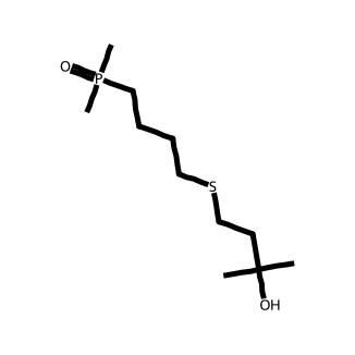 CC(C)(O)CCSCCCCP(C)(C)=O